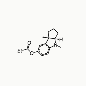 CCC(=O)Oc1ccc2c(c1)[C@]1(C)CCC[C@@H]1N2C